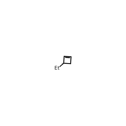 CC[C]1C=CC1